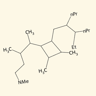 CCCC(CC)C(CCC)CC1C(C)C(C)C1C(C)C(C)CCNC